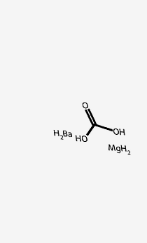 O=C(O)O.[BaH2].[MgH2]